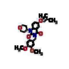 COc1ccc(Cn2c(=O)c3cc(OCC(C)C)ccc3n(C3CCOCC3)c2=O)cc1OC